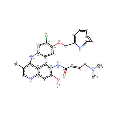 CCOc1cc2ncc(C#N)c(Nc3ccc(OCC4=C/C=C\C=C\C=N\4)c(Cl)c3)c2cc1NC(=O)/C=C/CN(C)C